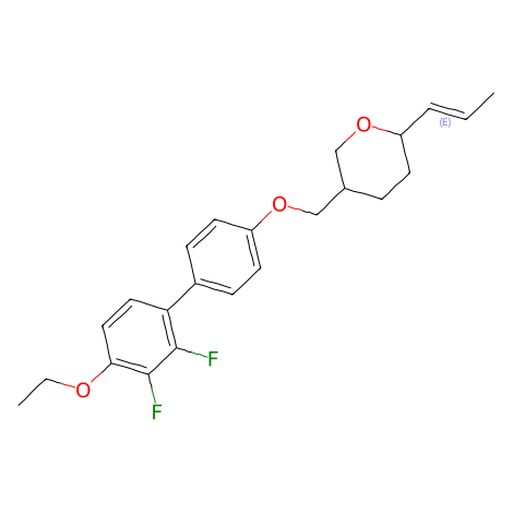 C/C=C/C1CCC(COc2ccc(-c3ccc(OCC)c(F)c3F)cc2)CO1